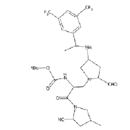 CC1CC(C#N)N(C(=O)C(CN2CC(NC(C)c3cc(C(F)(F)F)cc(C(F)(F)F)c3)CC2C=O)NC(=O)OC(C)(C)C)C1